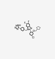 Fc1cc2nc(-c3ccc(Cl)cc3OCC3CCCC3)n(Cc3ccc(-c4nnn[nH]4)cc3)c2cc1F